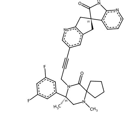 CN1C[C@@](C)(c2cc(F)cc(F)c2)N(CC#Cc2cnc3c(c2)C[C@@]2(C3)C(=O)Nc3ncccc32)C(=O)C12CCCC2